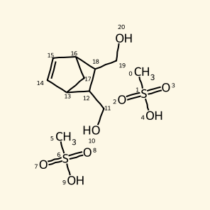 CS(=O)(=O)O.CS(=O)(=O)O.OCC1C2C=CC(C2)C1CO